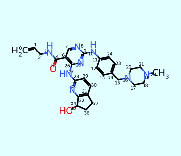 C=CCNC(=O)c1cnc(Nc2ccc(CN3CCN(C)CC3)cc2)nc1Nc1ccc2c(n1)C(O)CC2